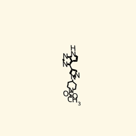 CS(=O)(=O)N1CCC(n2cc(-c3ncnc4[nH]ccc34)cn2)CC1